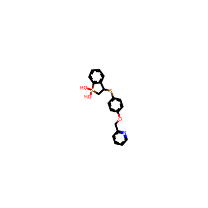 OS1(O)CC(Sc2ccc(OCc3ccccn3)cc2)c2ccccc21